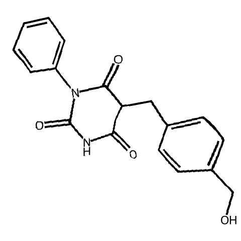 O=C1NC(=O)N(c2ccccc2)C(=O)C1Cc1ccc(CO)cc1